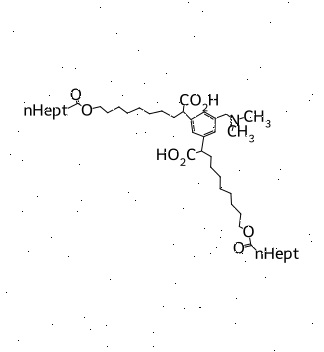 CCCCCCCC(=O)OCCCCCCCCC(C(=O)O)c1cc(CN(C)C)cc(C(CCCCCCCCOC(=O)CCCCCCC)C(=O)O)c1